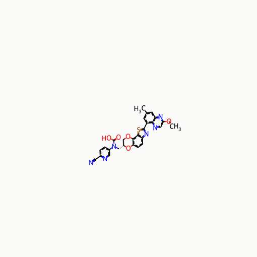 COc1cnc2c(-c3nc4ccc5c(c4s3)OC[C@@H](CN(C(=O)O)c3ccc(C#N)nc3)O5)cc(C)cc2n1